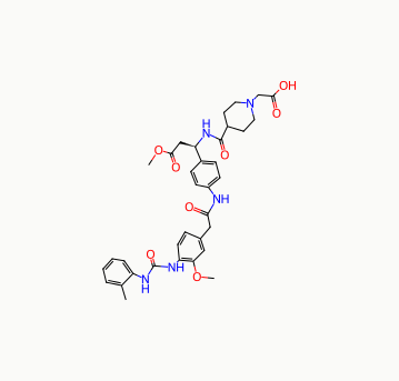 COC(=O)C[C@@H](NC(=O)C1CCN(CC(=O)O)CC1)c1ccc(NC(=O)Cc2ccc(NC(=O)Nc3ccccc3C)c(OC)c2)cc1